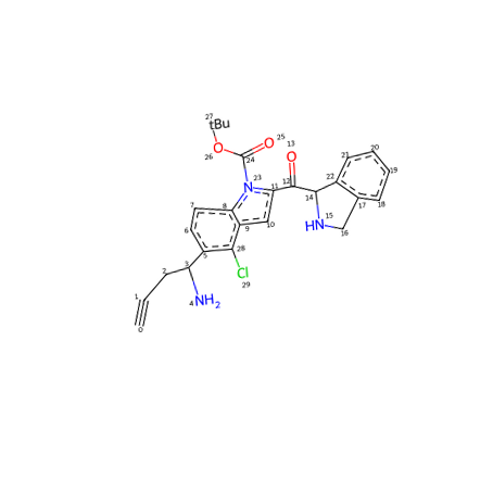 C#CCC(N)c1ccc2c(cc(C(=O)C3NCc4ccccc43)n2C(=O)OC(C)(C)C)c1Cl